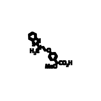 COC(C(=O)O)c1ccc(OCCN(C)c2nc3ccccc3s2)cc1